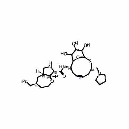 CC(C)C[C@@H]1CCO[C@@H]2[C@H](CN[C@@H]2C(=O)N[C@@H]2C/C=C\C[C@@H](CN3CCCC3)SC3OC2C(O)C(O)C3O)C1